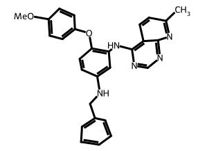 COc1ccc(Oc2ccc(NCc3ccccc3)cc2Nc2ncnc3nc(C)ccc23)cc1